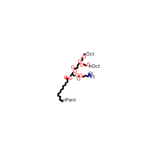 CCCCC/C=C\C/C=C\CCCCCCCC(=O)OCC(COC(=O)CCC(OCCOCCCCCCCC)OCCOCCCCCCCC)COC(=O)OCCCN(CC)CC